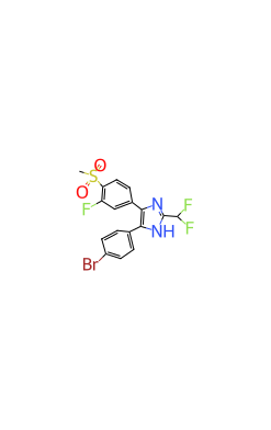 CS(=O)(=O)c1ccc(-c2nc(C(F)F)[nH]c2-c2ccc(Br)cc2)cc1F